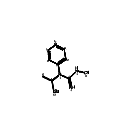 CC(N(C(=N)NC#N)c1ccncc1)C(C)(C)C